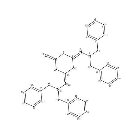 O=C1CC(=NN(Cc2ccccc2)Cc2ccccc2)CC(=NN(Cc2ccccc2)Cc2ccccc2)C1